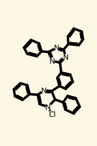 ClN1C=C(c2ccccc2)N=C(c2cccc(-c3nc(-c4ccccc4)nc(-c4ccccc4)n3)c2)C1c1ccccc1